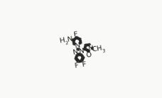 CN1CCC(n2c(N3CC[C@@H](F)[C@H](N)C3)nc3cc(F)c(F)cc32)C1=O